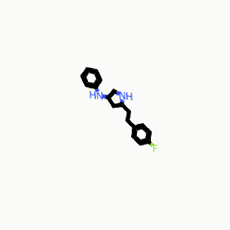 Fc1ccc(CCC2CC(Nc3ccccc3)CN2)cc1